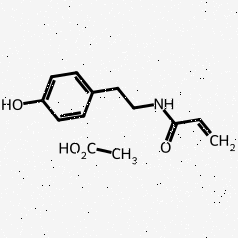 C=CC(=O)NCCc1ccc(O)cc1.CC(=O)O